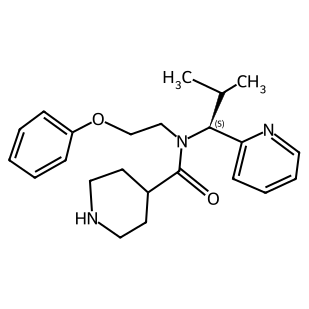 CC(C)[C@@H](c1ccccn1)N(CCOc1ccccc1)C(=O)C1CCNCC1